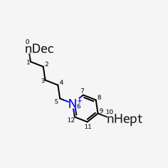 CCCCCCCCCCCCCCC[n+]1ccc(CCCCCCC)cc1